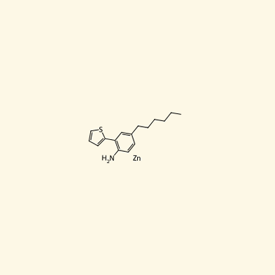 CCCCCCc1ccc(N)c(-c2cccs2)c1.[Zn]